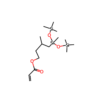 C=CC(=O)OCCC(C)C[Si](C)(O[Si](C)(C)C)O[Si](C)(C)C